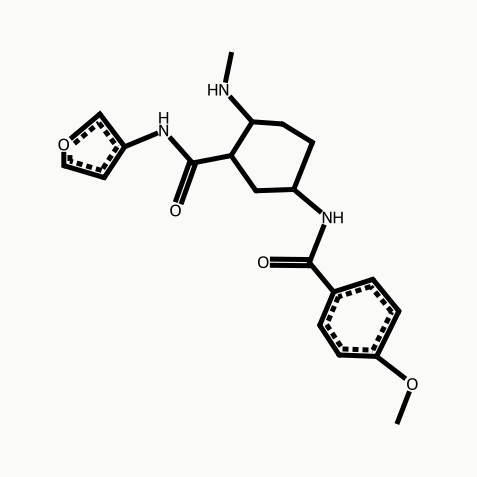 CNC1CCC(NC(=O)c2ccc(OC)cc2)CC1C(=O)Nc1ccoc1